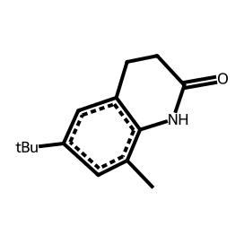 Cc1cc(C(C)(C)C)cc2c1NC(=O)CC2